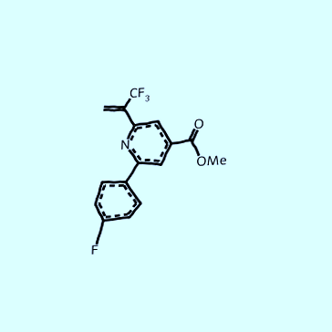 C=C(c1cc(C(=O)OC)cc(-c2ccc(F)cc2)n1)C(F)(F)F